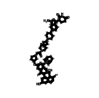 C#Cc1c(F)ccc2cc(O)cc(-c3ncc4c(N5CC6CCC(C5)N6)nc(OC5CCN(CC(=O)N6CCC7(CC6)CC(N6CCC(c8ccc9c(C%10CCC(=O)NC%10=O)nn(C)c9c8)CC6)C7)C5)nc4c3F)c12